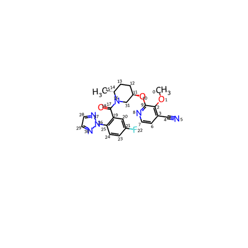 COc1c(C#N)ccnc1O[C@@H]1CC[C@@H](C)N(C(=O)c2cc(F)ccc2-n2nccn2)C1